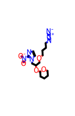 [N-]=[N+]=NCCCCOCC(Cn1ccnc1[N+](=O)[O-])OC1CCCCO1